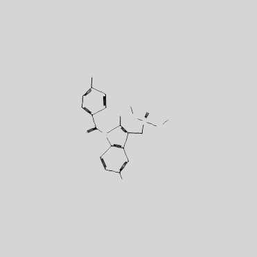 CCOP(=O)(Cc1c(C)n(C(=O)c2ccc(Cl)cc2)c2ccc(OC)cc12)OCC